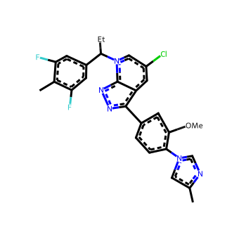 CCC(c1cc(F)c(C)c(F)c1)n1cc(Cl)cc2c(-c3ccc(-n4cnc(C)c4)c(OC)c3)nnc1-2